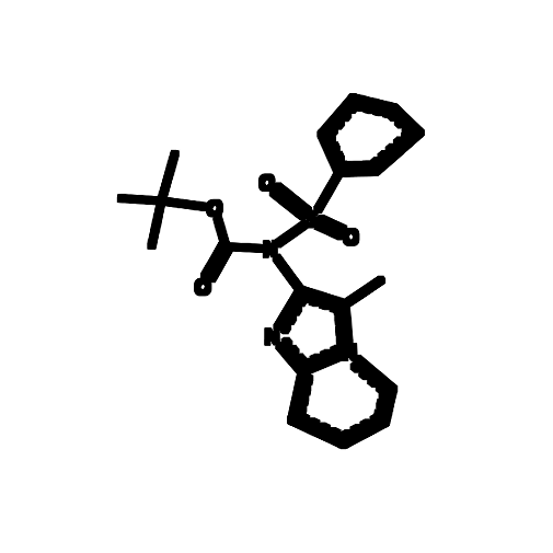 Cc1c(N(C(=O)OC(C)(C)C)S(=O)(=O)c2ccccc2)nc2ccccn12